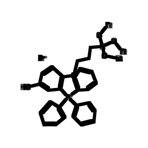 CCO[Si](CCCOc1ccc(O)cc1[P+](c1ccccc1)(c1ccccc1)c1ccccc1)(OCC)OCC.[Br-]